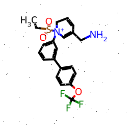 CCS(=O)(=O)[N+]1(c2cccc(-c3ccc(OC(F)(F)F)cc3)c2)C=C(CN)C=CC1